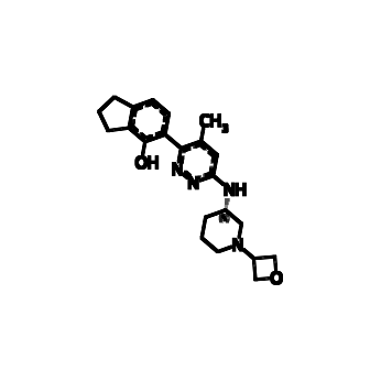 Cc1cc(N[C@H]2CCCN(C3COC3)C2)nnc1-c1ccc2c(c1O)CCC2